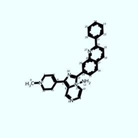 CN1CC=C(C2=C3C=NC=C[N+]3(N)C(c3ccc4ccc(-c5ccccc5)nc4c3)=N2)CC1